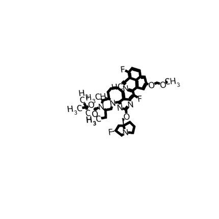 C#Cc1c(F)ccc2cc(OCOC)cc(-c3nc4c5c(nc(OC[C@@]67CCCN6C[C@H](F)C7)nc5c3F)N3CC(CC)N(C(=O)OC(C)(C)C)[C@@H](C)[C@H]3CCC4)c12